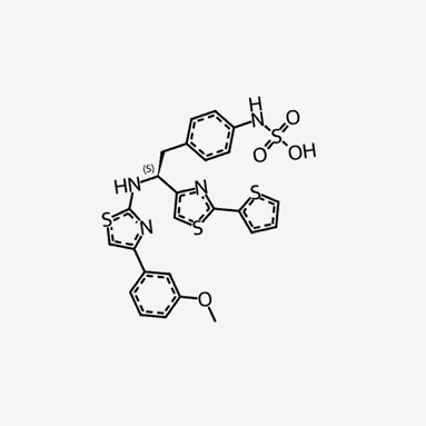 COc1cccc(-c2csc(N[C@@H](Cc3ccc(NS(=O)(=O)O)cc3)c3csc(-c4cccs4)n3)n2)c1